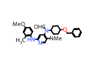 CNc1cnc(Nc2ccc(OC)cc2C)cc1N(C=O)C1CCC(OCc2ccccc2)CC1